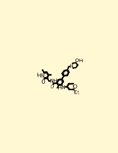 CC[C@H]1CC(Nc2cc(-c3ccc(CN4CCCC(O)C4)cc3)cc(C(=O)NCc3c(C)cc(C)[nH]c3=O)c2C)CCO1